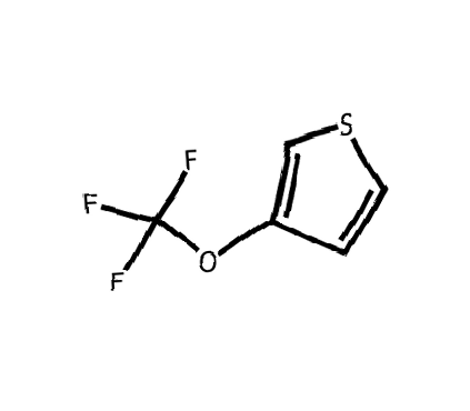 FC(F)(F)Oc1ccsc1